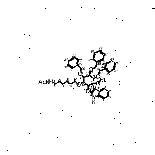 CCOC1(c2c[nH]c3ccccc23)C(O)C(OCCCCCCNC(C)=O)C(OCc2ccccc2)C(OCc2ccccc2)C1OCc1ccccc1